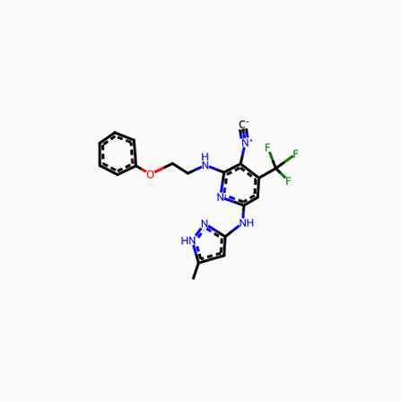 [C-]#[N+]c1c(C(F)(F)F)cc(Nc2cc(C)[nH]n2)nc1NCCOc1ccccc1